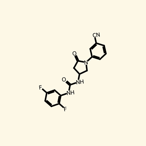 N#Cc1cccc(N2CC(NC(=O)Nc3cc(F)ccc3F)CC2=O)c1